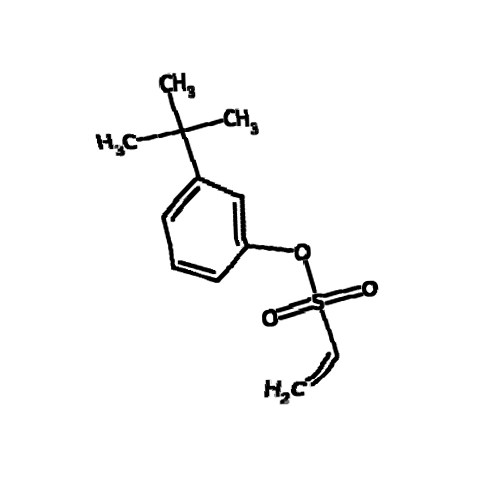 C=CS(=O)(=O)Oc1cccc(C(C)(C)C)c1